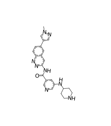 Cn1cc(-c2ccc3nnc(NC(=O)c4cncc(NC5CCNCC5)c4)cc3c2)cn1